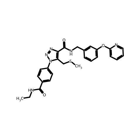 CCNC(=O)c1ccc(-n2nnc(C(=O)NCc3cccc(Oc4ccccn4)c3)c2CSC)cc1